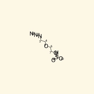 [N-]=[N+]=NCCOCCO[SH](=O)=O